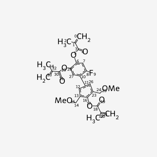 C=C(C)C(=O)Oc1cc(F)c(-c2cc(COC)c(OC(=O)C(=C)C)c(COC)c2)cc1OC(=O)C(=C)C